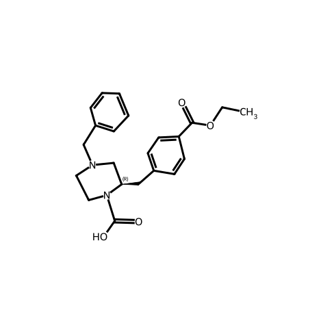 CCOC(=O)c1ccc(C[C@@H]2CN(Cc3ccccc3)CCN2C(=O)O)cc1